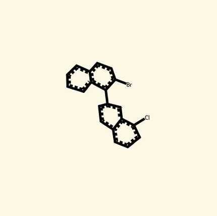 Clc1cccc2ccc(-c3c(Br)ccc4ccccc34)[c]c12